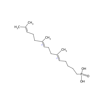 CC(C)=CCC/C(C)=C/CC/C(C)=C/CCCCP(=O)(O)O